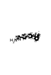 Nc1nc(-c2ccc(N3CCC(Oc4ccccc4C(F)(F)F)CC3)nn2)cs1